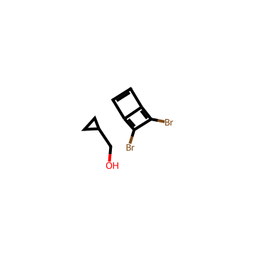 Brc1c2ccc-2c1Br.OCC1CC1